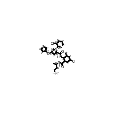 Cc1cc(Cl)cc(C(=O)NC(C)CCC(C)C)c1NC(=O)c1cc(Oc2ccsc2)nn1-c1ncccc1Cl